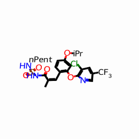 CCCCCNS(=O)(=O)NC(=O)C(C)=Cc1ccc(OC(C)C)cc1Oc1ncc(C(F)(F)F)cc1Cl